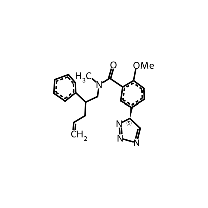 C=CCC(CN(C)C(=O)c1cc([C@H]2C=NN=N2)ccc1OC)c1ccccc1